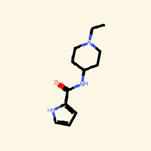 CCN1CCC(NC(=O)c2ccc[nH]2)CC1